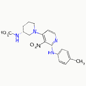 Cc1ccc(Nc2nccc(N3CCC[C@@H](NC(=O)O)C3)c2[N+](=O)[O-])cc1